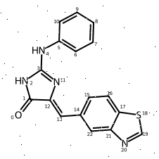 O=C1NC(Nc2ccccc2)=N/C1=C\c1ccc2scnc2c1